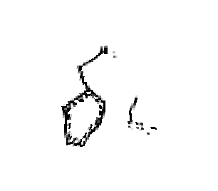 CC(=O)O.NCc1ccccc1